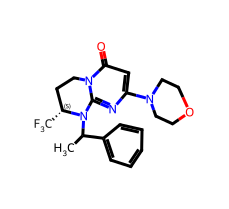 CC(c1ccccc1)N1c2nc(N3CCOCC3)cc(=O)n2CC[C@H]1C(F)(F)F